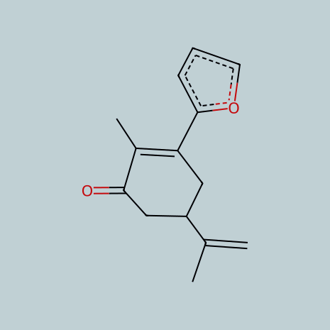 C=C(C)C1CC(=O)C(C)=C(c2ccco2)C1